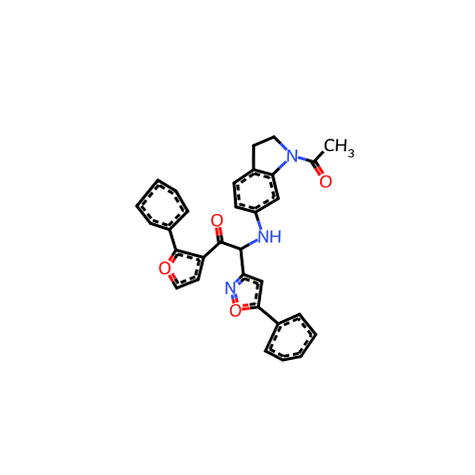 CC(=O)N1CCc2ccc(NC(C(=O)c3ccoc3-c3ccccc3)c3cc(-c4ccccc4)on3)cc21